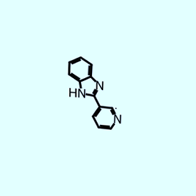 [c]1ncccc1-c1nc2ccccc2[nH]1